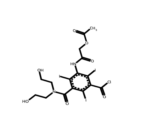 CC(=O)OCC(=O)Nc1c(I)c(C(=O)Cl)c(I)c(C(=O)N(CCO)CCO)c1I